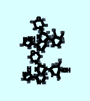 Cc1cc(-c2cc(N3CCOCC3)nc3c(-c4ccn[nH]4)nccc23)cc(C)c1O.Cc1cccc(-c2cc(N3CCOCC3)nc3c(-c4ccn[nH]4)nccc23)c1C